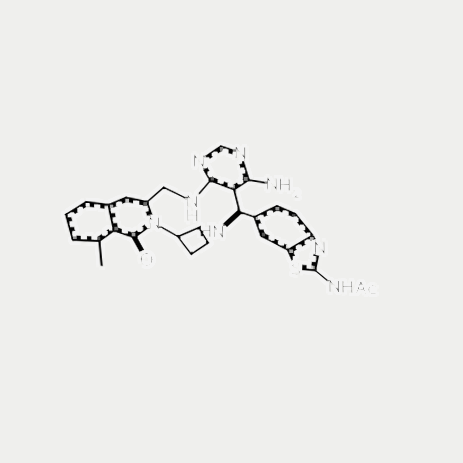 CC(=O)Nc1nc2ccc(C(=N)c3c(N)ncnc3NCc3cc4cccc(C)c4c(=O)n3C3CCC3)cc2s1